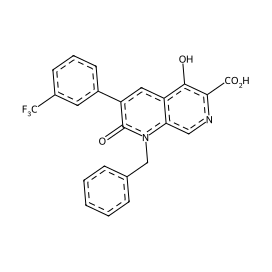 O=C(O)c1ncc2c(cc(-c3cccc(C(F)(F)F)c3)c(=O)n2Cc2ccccc2)c1O